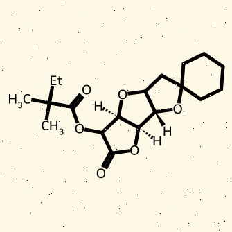 CCC(C)(C)C(=O)OC1C(=O)O[C@H]2[C@@H]1OC1CC3(CCCCC3)O[C@@H]12